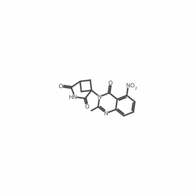 Cc1nc2cccc([N+](=O)[O-])c2c(=O)n1C12CC(C1)C(=O)NC2=O